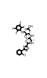 C[C@H](NC(=O)c1noc(-c2ccccc2Cl)n1)C(=O)N[C@@H](CC(=O)O)C(=O)COc1c(F)c(F)cc(F)c1F